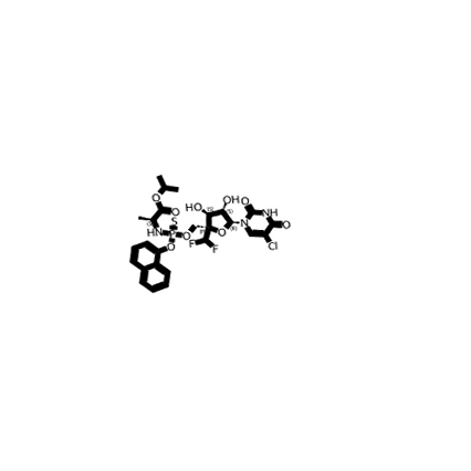 CC(C)OC(=O)[C@H](C)NP(=S)(OC[C@@]1(C(F)F)O[C@@H](n2cc(Cl)c(=O)[nH]c2=O)[C@@H](O)[C@@H]1O)Oc1cccc2ccccc12